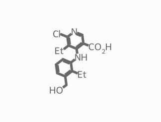 CCc1c(CO)cccc1Nc1c(C(=O)O)cnc(Cl)c1CC